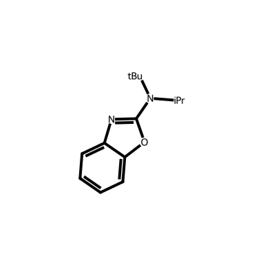 CC(C)N(c1nc2ccccc2o1)C(C)(C)C